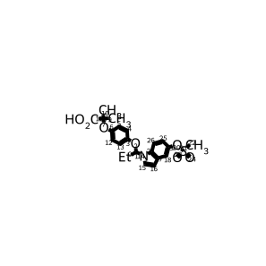 CCC(Oc1ccc(OC(C)(C)C(=O)O)cc1)n1ccc2cc(OS(C)(=O)=O)ccc21